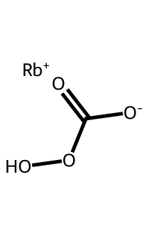 O=C([O-])OO.[Rb+]